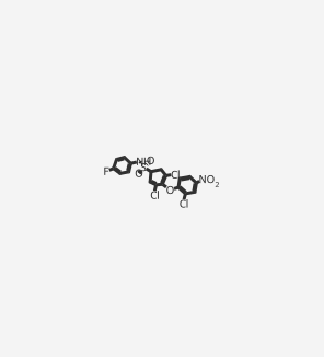 O=[N+]([O-])c1ccc(OC2=C(Cl)CC(S(=O)(=O)Nc3ccc(F)cc3)C=C2Cl)c(Cl)c1